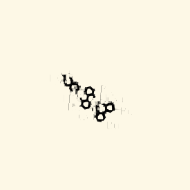 Cc1c(C(C)(C)C)cc(C(C)(C)C)c(OP2CCC3(CO2)COC(C)(C)OC3)c1-c1c(C)c(C(C)(C)C)cc(C(C)(C)C)c1Op1oc2c(C(C)(C)C)cc(C(C)(C)C)cc2c2cc(C(C)(C)C)cc(C(C)(C)C)c2o1